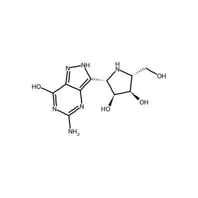 Nc1nc(O)c2n[nH]c([C@@H]3N[C@H](CO)[C@@H](O)[C@H]3O)c2n1